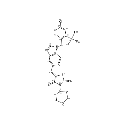 O=C1S/C(=C\c2ccc3c(cnn3Cc3ccc(Cl)cc3C(F)(F)F)c2)C(=O)N1N1CCOCC1